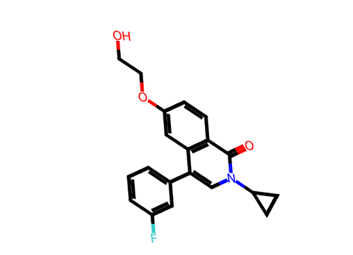 O=c1c2ccc(OCCO)cc2c(-c2cccc(F)c2)cn1C1CC1